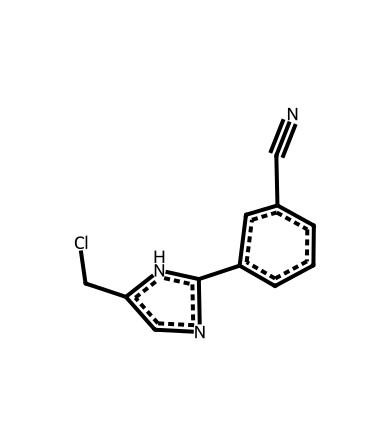 N#Cc1cccc(-c2ncc(CCl)[nH]2)c1